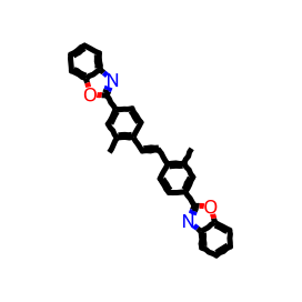 Cc1cc(-c2nc3ccccc3o2)ccc1C=Cc1ccc(-c2nc3ccccc3o2)cc1C